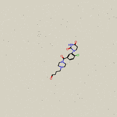 O=CCCCN1CCN(C(=O)c2ccc(Cl)c(N3CCC(=O)NC3=O)c2)CC1